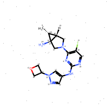 C[C@@H]1[C@@H]2CN(c3nc(Nc4cnn(C5COC5)c4)ncc3F)C[C@]12N